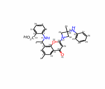 Cc1cc(C(C)Nc2ccccc2C(=O)O)c2oc(N3CC(C)(Nc4ccccc4)C3)cc(=O)c2c1